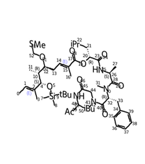 C/C=C(\C)[C@@H](O[Si](C)(C)C(C)(C)C)[C@H](C)[C@H](C/C=C(\C)C(=O)O[C@H](CC(C)C)C(=O)N[C@@H](C)C(=O)N(C)[C@H](Cc1ccccc1)C(=O)N(C)CC(=O)N[C@H](C(C)=O)C(C)CC)OCSC